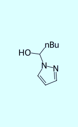 CCCCC(O)n1cccn1